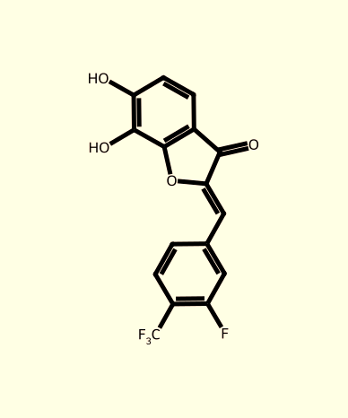 O=C1/C(=C/c2ccc(C(F)(F)F)c(F)c2)Oc2c1ccc(O)c2O